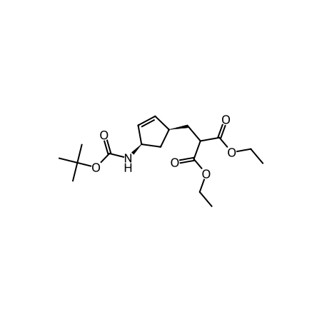 CCOC(=O)C(C[C@@H]1C=C[C@H](NC(=O)OC(C)(C)C)C1)C(=O)OCC